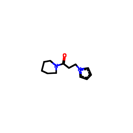 O=C(CCn1cccc1)N1CCCCC1